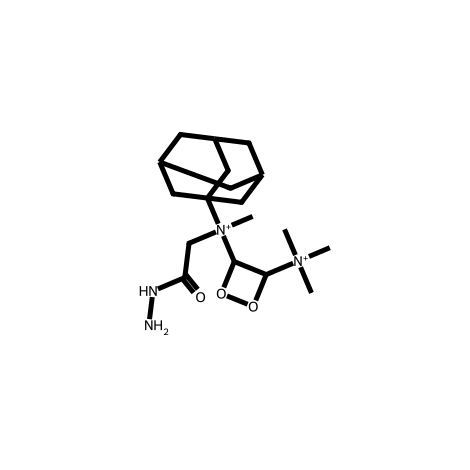 C[N+](C)(C)C1OOC1[N+](C)(CC(=O)NN)C12CC3CC(CC(C3)C1)C2